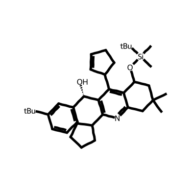 CC1(C)Cc2nc(C3CCCC3)c([C@@H](O)c3cccc(C(C)(C)C)c3)c(C3C=CCC3)c2C(O[Si](C)(C)C(C)(C)C)C1